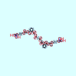 O=C(CCC(=O)OCC(=O)Oc1ccccc1C(=O)OCC(=O)OCCCCON(O)O)OCC(=O)Oc1ccccc1C(=O)OCC(=O)OCCCCON(O)O